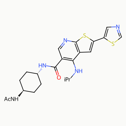 CC(=O)N[C@H]1CC[C@H](NC(=O)c2cnc3sc(-c4cncs4)cc3c2NC(C)C)CC1